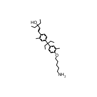 CCC(O)(C=Cc1ccc(C(CC)(CC)c2ccc(OCCCCCN)c(C)c2)cc1C)CC